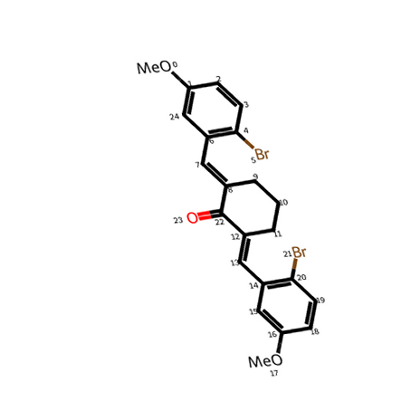 COc1ccc(Br)c(/C=C2\CCC/C(=C\c3cc(OC)ccc3Br)C2=O)c1